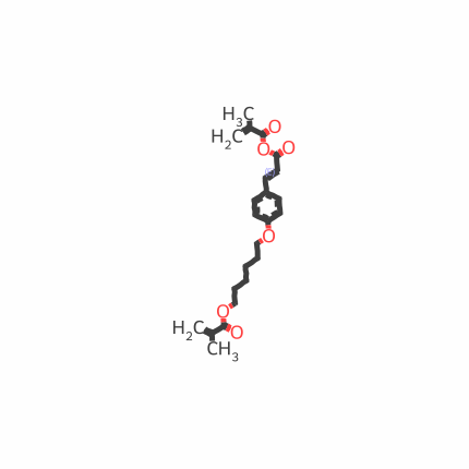 C=C(C)C(=O)OCCCCCCOc1ccc(/C=C/C(=O)OC(=O)C(=C)C)cc1